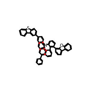 c1ccc(-c2ccc(N(c3ccc(-c4ccc5sc6ccccc6c5c4)cc3)c3cccc(-c4cccc5c4oc4ccccc45)c3-c3ccccc3-c3ccccc3)cc2)cc1